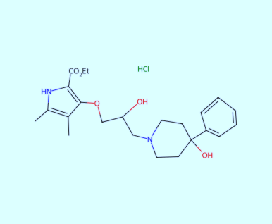 CCOC(=O)c1[nH]c(C)c(C)c1OCC(O)CN1CCC(O)(c2ccccc2)CC1.Cl